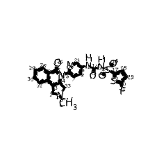 CN1Cc2c(n(-c3ccc(NC(=O)NS(=O)(=O)c4ccc(F)s4)cn3)c(=O)c3ccccc23)C1